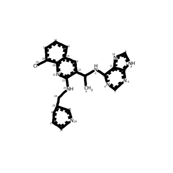 CC(Nc1ncnc2[nH]cnc12)c1cc2cccc(Cl)c2nc1NCc1cccnc1